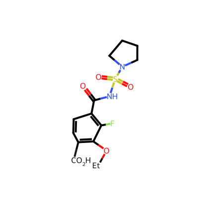 CCOc1c(C(=O)O)ccc(C(=O)NS(=O)(=O)N2CCCC2)c1F